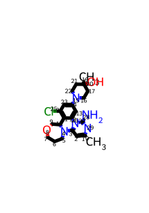 Cc1cc(N2CCCOCC2c2ccc(N3CCC(C)(O)CC3)cc2Cl)nc(N)n1